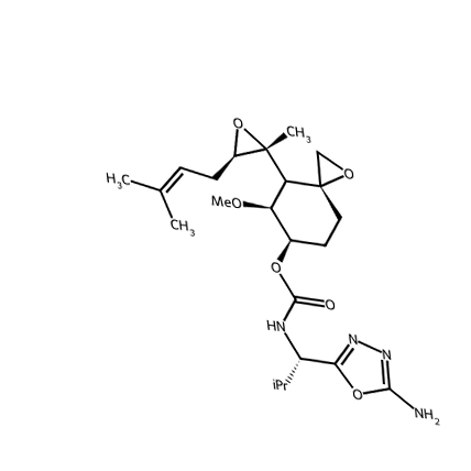 CO[C@H]1C([C@@]2(C)O[C@@H]2CC=C(C)C)[C@]2(CC[C@H]1OC(=O)N[C@H](c1nnc(N)o1)C(C)C)CO2